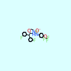 [O-][S+](Nc1ccc(OC(F)(F)F)cc1)N1CCOC(C(c2cccc(F)c2)c2cccc(F)c2)C1